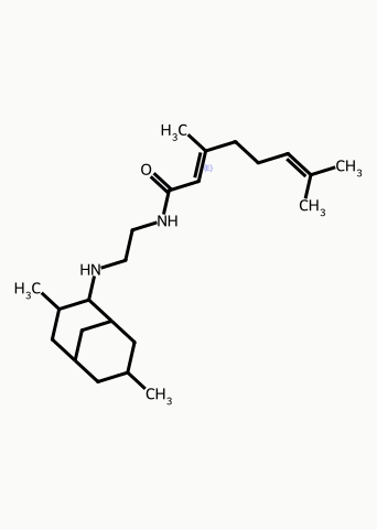 CC(C)=CCC/C(C)=C/C(=O)NCCNC1C(C)CC2CC(C)CC1C2